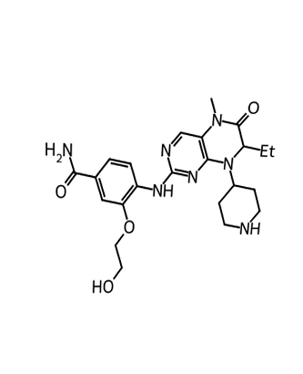 CCC1C(=O)N(C)c2cnc(Nc3ccc(C(N)=O)cc3OCCO)nc2N1C1CCNCC1